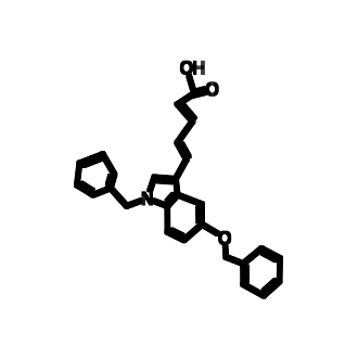 O=C(O)C=CC=Cc1cn(Cc2ccccc2)c2ccc(OCc3ccccc3)cc12